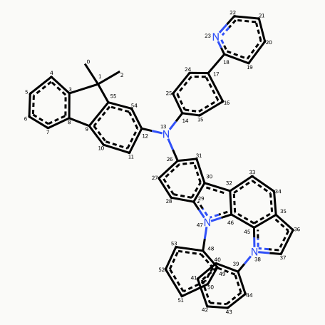 CC1(C)c2ccccc2-c2ccc(N(c3ccc(-c4ccccn4)cc3)c3ccc4c(c3)c3ccc5ccn(-c6ccccc6)c5c3n4-c3ccccc3)cc21